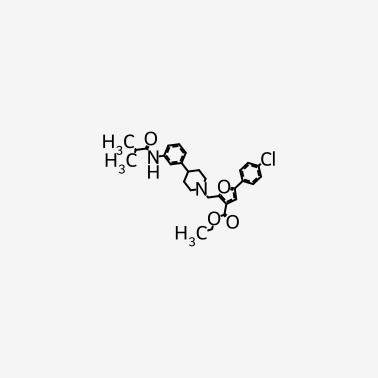 CCOC(=O)c1cc(-c2ccc(Cl)cc2)oc1CN1CCC(c2cccc(NC(=O)C(C)C)c2)CC1